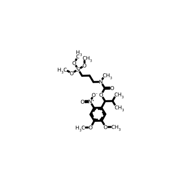 COc1cc(C(OC(=O)N(C)CCC[Si](OC)(OC)OC)C(C)C)c([N+](=O)[O-])cc1OC